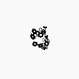 CC(C)n1cnc2c(c1=O)C(Cc1cccc(-c3ccccc3)c1)C(N)CC2.CC(C)n1cnc2c(c1=O)[C@@H](Cc1cccc(-c3ccccc3)c1)[C@@H](NS(C)(=O)=O)CC2